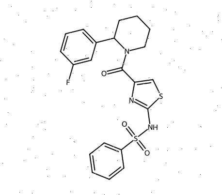 O=C(c1csc(NS(=O)(=O)c2ccccc2)n1)N1CCCCC1c1cccc(F)c1